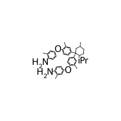 Cc1cc(Oc2ccc(C3(c4ccc(Oc5ccc(N)c(C)c5)c(C)c4)CC(C)CCC3C(C)C)cc2C)ccc1N